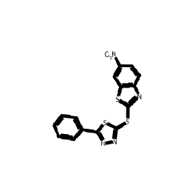 O=[N+]([O-])c1ccc2nc(Sc3nnc(-c4ccccc4)s3)sc2c1